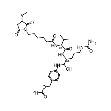 [2H]C(=O)OCc1ccc(NC(O)[C@H](CCCNC(N)=O)NC(=O)[C@@H](NC(=O)CCCCCN2C(=O)CC(SC)C2=O)C(C)C)cc1